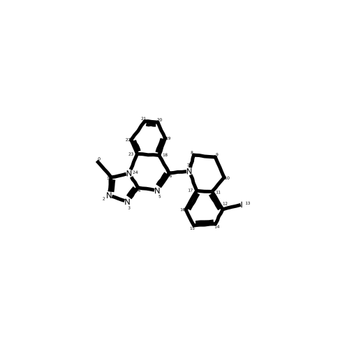 Cc1nnc2nc(N3CCCc4c(I)cccc43)c3ccccc3n12